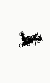 CC(C)(C)OC(=O)NC[C@@H](NCc1ccc(C(=O)Nc2ccc(Cl)cc2N2CCN(CCC(F)(F)F)CC2)c(F)c1F)C(=O)O